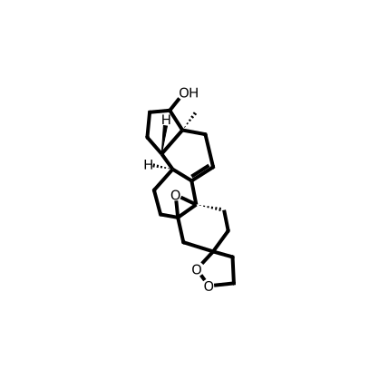 C[C@]12CC=C3[C@@H](CCC45CC6(CCOO6)CC[C@]34O5)[C@@H]1CCC2O